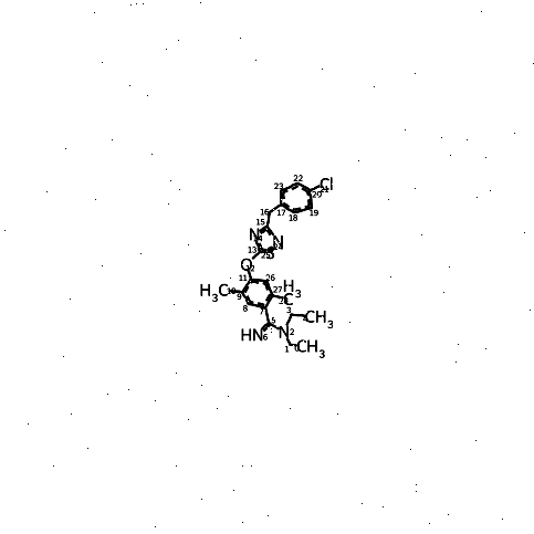 CCN(CC)C(=N)c1cc(C)c(Oc2nc(Cc3ccc(Cl)cc3)ns2)cc1C